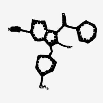 Cc1ccc(-c2c(Br)c(C(=O)c3ccccc3)n3ccc(C#N)cc23)cc1